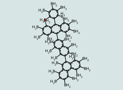 Bc1c(B)c(B)c(-c2c3c(B)c(B)c(B)c(B)c3c(-c3c(B)c(B)c4c(B)c(-c5c(B)c6c(B)c(B)c(B)c(B)c6c6c(B)c(B)c(B)c(B)c56)c(B)c(B)c4c3B)c3c(B)c(B)c(B)c(B)c23)c(B)c1B